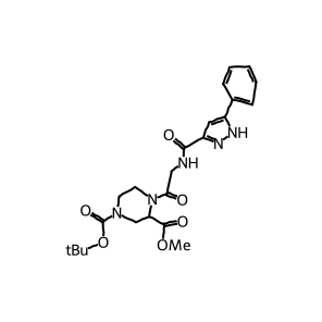 COC(=O)C1CN(C(=O)OC(C)(C)C)CCN1C(=O)CNC(=O)c1cc(-c2ccccc2)[nH]n1